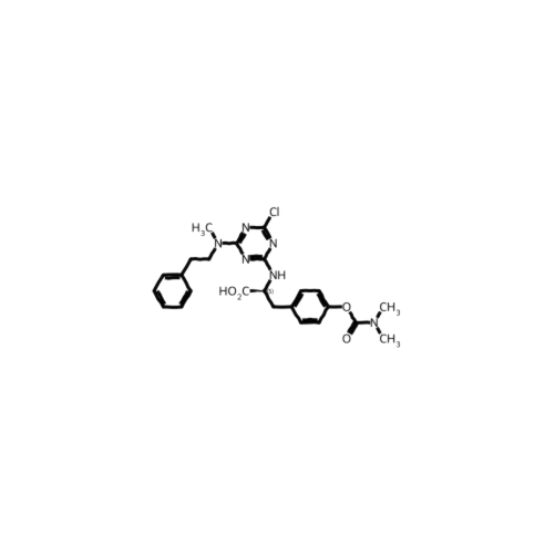 CN(C)C(=O)Oc1ccc(C[C@H](Nc2nc(Cl)nc(N(C)CCc3ccccc3)n2)C(=O)O)cc1